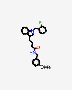 COc1cccc(CNC(=O)CCCc2cn(Cc3ccccc3F)c3ccccc23)c1